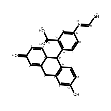 O=C1C=CC2C(=C1)Cc1cc(O)ccc1C2c1ccc(N=CS)cc1C(=O)O